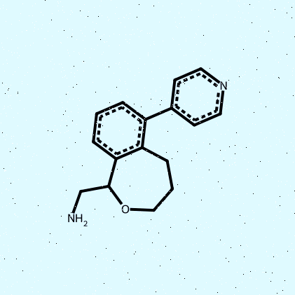 NCC1OCCCc2c(-c3ccncc3)cccc21